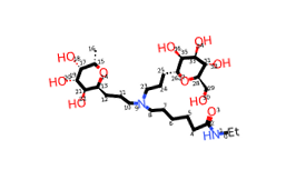 CCNC(=O)CCCCCN(CCC[C@@H]1O[C@@H](C)[C@@H](O)[C@@H](O)[C@@H]1O)CCC[C@H]1O[C@H](CO)[C@@H](O)[C@H](O)[C@@H]1O